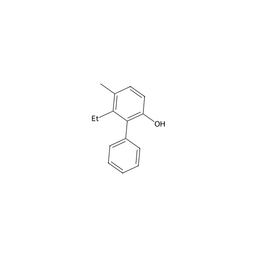 CCc1c(C)ccc(O)c1-c1ccccc1